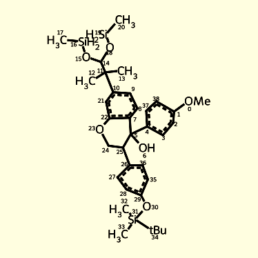 COc1ccc(C2(O)c3ccc(C(C)(C)C(O[SiH2]C)O[SiH2]C)cc3OCC2c2ccc(O[Si](C)(C)C(C)(C)C)cc2)cc1